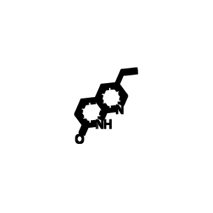 C=Cc1cnc2[nH]c(=O)ccc2c1